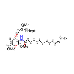 CCCCCC/C=C\CCCCCCCCCC(=O)NC1C(OC)OC(COC)C(C)C1OCCC(CCCCCCC)OC